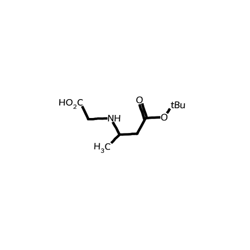 CC(CC(=O)OC(C)(C)C)NCC(=O)O